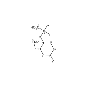 CC1CCC(CC(C)(C)C(=O)O)CC1.COC(C)=O